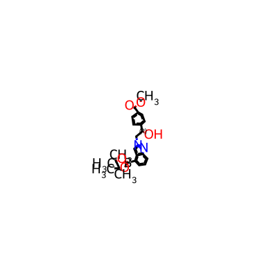 COC(=O)c1ccc([C@@H](O)Cn2cc3c(B4OC(C)(C)C(C)(C)O4)cccc3n2)cc1